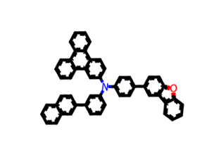 c1cc(-c2ccc3ccccc3c2)cc(N(c2ccc(-c3ccc4oc5ccccc5c4c3)cc2)c2ccc3c4ccccc4c4ccccc4c3c2)c1